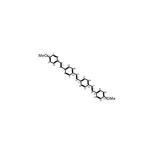 COc1ccc(/C=C/c2ccc(/C=C/c3ccc(/C=C/c4ccc(OC)cc4)cc3)cc2)cc1